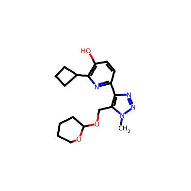 Cn1nnc(-c2ccc(O)c(C3CCC3)n2)c1COC1CCCCO1